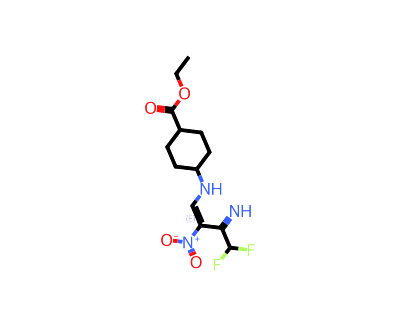 CCOC(=O)C1CCC(N/C=C(\C(=N)C(F)F)[N+](=O)[O-])CC1